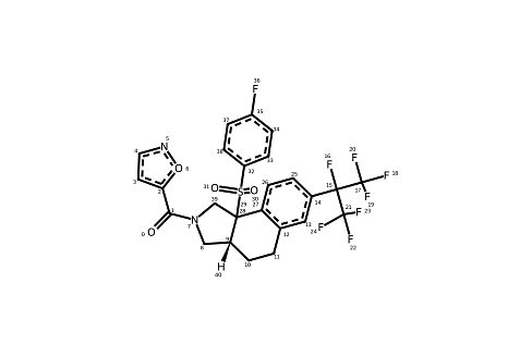 O=C(c1ccno1)N1C[C@H]2CCc3cc(C(F)(C(F)(F)F)C(F)(F)F)ccc3C2(S(=O)(=O)c2ccc(F)cc2)C1